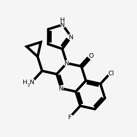 NC(c1nc2c(F)ccc(Cl)c2c(=O)n1-c1cc[nH]n1)C1CC1